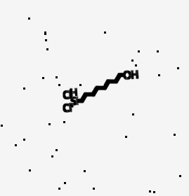 OCCCCCCCC[SiH](Cl)Cl